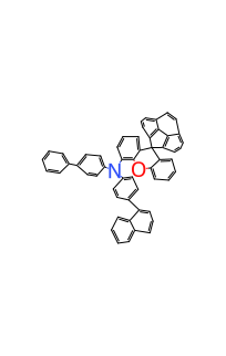 c1ccc(-c2ccc(N(c3ccc(-c4cccc5ccccc45)cc3)c3cccc4c3Oc3ccccc3C43c4cccc5ccc6cccc3c6c45)cc2)cc1